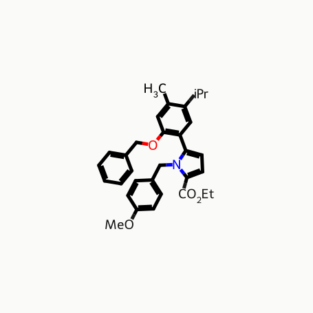 CCOC(=O)c1ccc(-c2cc(C(C)C)c(C)cc2OCc2ccccc2)n1Cc1ccc(OC)cc1